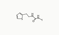 O=C(NI)NCCc1cccs1